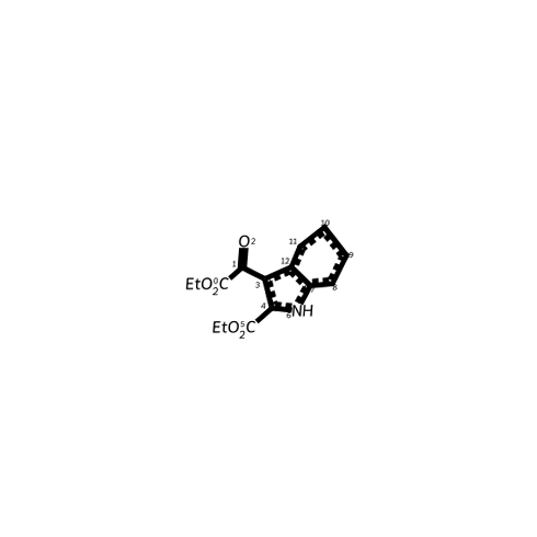 CCOC(=O)C(=O)c1c(C(=O)OCC)[nH]c2ccccc12